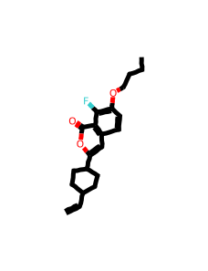 C=CC1CCC(c2cc3ccc(OCCCC)c(F)c3c(=O)o2)CC1